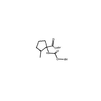 COC(=O)C1(NC(=O)OC(C)(C)C)CCCC1C